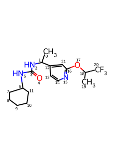 CC(NC(=O)NC1CCCCC1)c1ccnc(OC(C)C(F)(F)F)c1